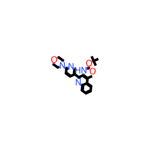 Cc1c(NC(=O)OC(C)(C)C)c(-c2ccc(N3CCOCC3)nc2)nc2ccccc12